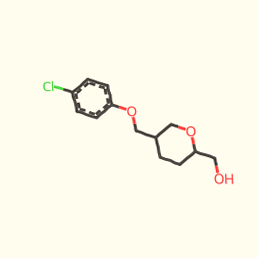 OCC1CCC(COc2ccc(Cl)cc2)CO1